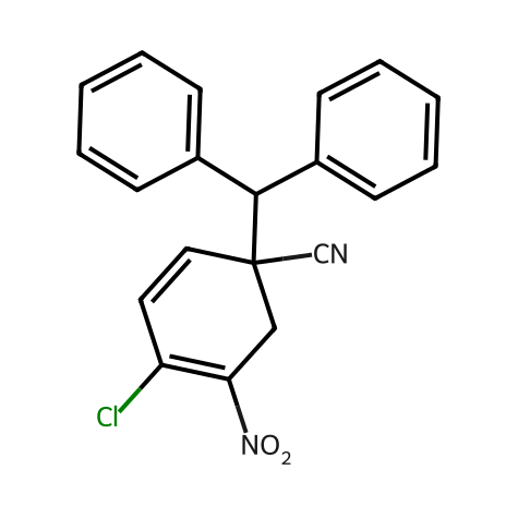 N#CC1(C(c2ccccc2)c2ccccc2)C=CC(Cl)=C([N+](=O)[O-])C1